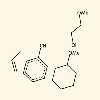 C=CC.COC1CCCCC1.COCCO.N#Cc1ccccc1